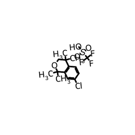 CC1(C)COC(C)(C)c2cc(Cl)ccc21.O=S(=O)(O)C(F)(F)F